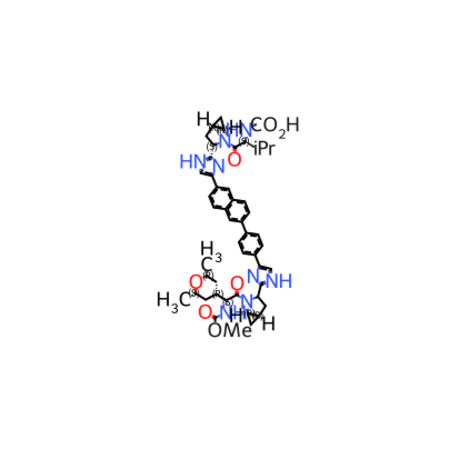 COC(=O)N[C@H](C(=O)N1C(c2nc(-c3ccc(-c4ccc5cc(-c6c[nH]c([C@@H]7C[C@H]8C[C@H]8N7C(=O)[C@@H](NC(=O)O)C(C)C)n6)ccc5c4)cc3)c[nH]2)C[C@H]2C[C@H]21)[C@H]1C[C@@H](C)O[C@@H](C)C1